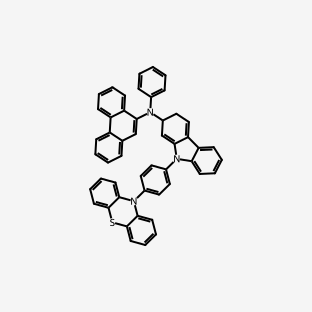 C1=c2c(n(-c3ccc(N4c5ccccc5Sc5ccccc54)cc3)c3ccccc23)=CC(N(c2ccccc2)c2cc3ccccc3c3ccccc23)C1